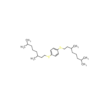 CC(C)CCCC(C)CCSc1ccc(SCCC(C)CCCC(C)C)cc1